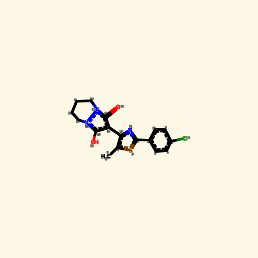 Cc1sc(-c2ccc(Cl)cc2)nc1-c1c(O)n2n(c1=O)CCCC2